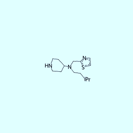 CC(C)CCN(Cc1nccs1)C1CCNCC1